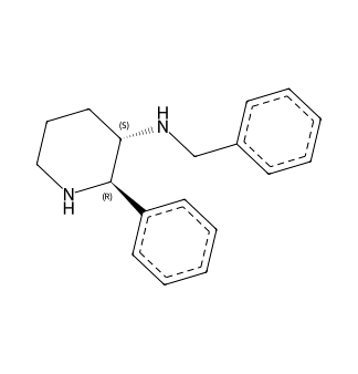 c1ccc(CN[C@H]2CCCN[C@@H]2c2ccccc2)cc1